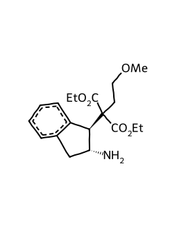 CCOC(=O)C(CCOC)(C(=O)OCC)[C@@H]1c2ccccc2C[C@H]1N